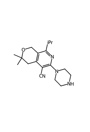 CC(C)c1nc(N2CCNCC2)c(C#N)c2c1COC(C)(C)C2